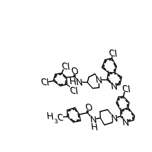 Cc1ccc(C(=O)NC2CCN(c3nccc4cc(Cl)ccc34)CC2)cc1.O=C(NC1CCN(c2nccc3cc(Cl)ccc23)CC1)c1c(Cl)cc(Cl)cc1Cl